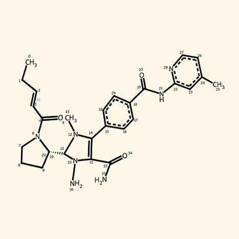 CC/C=C/C(=O)N1CCC[C@H]1C1N(C)C(c2ccc(C(=O)Nc3cc(C)ccn3)cc2)=C(C(N)=O)N1N